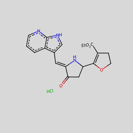 CCOC(=O)C1=C(C2CC(=O)C(=Cc3c[nH]c4ncccc34)N2)OCC1.Cl